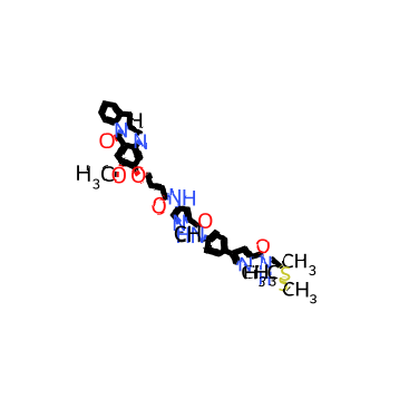 COc1cc2c(cc1OCCCC(=O)Nc1cc(C(=O)Nc3ccc(-c4cc(C(=O)NCC(C)(C)SSC)n(C)c4)cc3)n(C)c1)N=C[C@@H]1Cc3ccccc3N1C2=O